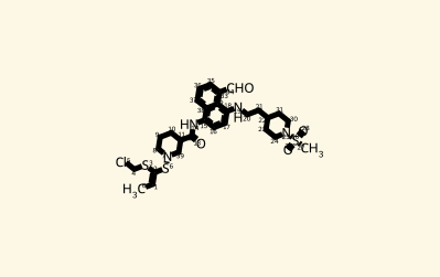 C/C=C(\SCCl)SN1CCCC(C(=O)Nc2ccc(NCCC3CCN(S(C)(=O)=O)CC3)c3c(C=O)cccc23)C1